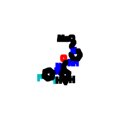 COCCN1CCC[C@H](NC(=O)c2nn(-c3ccc(F)cc3F)c3c2C[C@H]2C[C@@H]32)C1